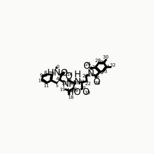 CNC(=O)[C@H](Cc1ccccc1)NC(=O)[C@H](CC(C)C)NC(CCN1C(=O)c2cc(C)c(C)cc2C1=O)C(=O)O